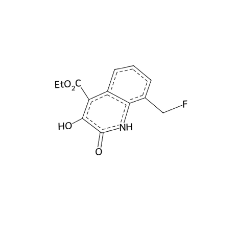 CCOC(=O)c1c(O)c(=O)[nH]c2c(CF)cccc12